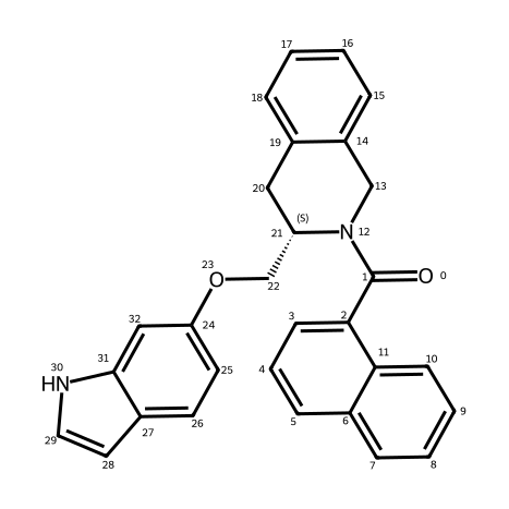 O=C(c1cccc2ccccc12)N1Cc2ccccc2C[C@H]1COc1ccc2cc[nH]c2c1